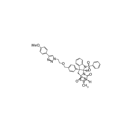 COc1ccc(-c2cn(CCOCc3ccc([C@]45C[C@@]67SS[C@@H](C(=O)N6[C@H]4N(S(=O)(=O)c4ccccc4)c4ccccc45)N(C)C7=O)cc3)nn2)cc1